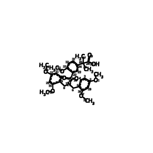 COc1ccc(CN(Cc2ccc(OC)cc2OC)S(=O)(=O)c2cc(C(C)(C)C(=O)O)ccc2OC)c(OC)c1